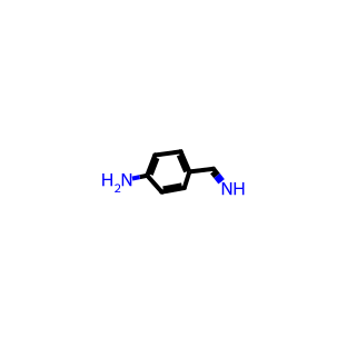 N=Cc1ccc(N)cc1